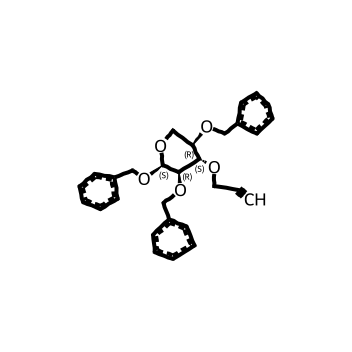 C#CCO[C@@H]1[C@@H](OCc2ccccc2)[C@@H](OCc2ccccc2)OC[C@H]1OCc1ccccc1